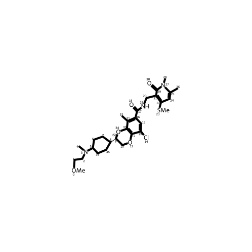 COCCN(C)C1CCC([C@H]2COc3c(Cl)cc(C(=O)NCc4c(SC)cc(C)n(C)c4=O)c(C)c3O2)CC1